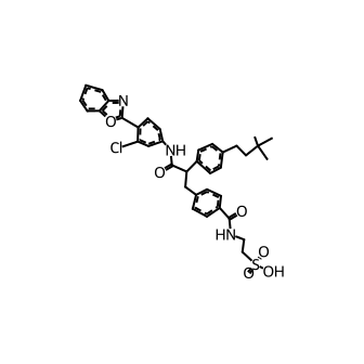 CC(C)(C)CCc1ccc(C(Cc2ccc(C(=O)NCCS(=O)(=O)O)cc2)C(=O)Nc2ccc(-c3nc4ccccc4o3)c(Cl)c2)cc1